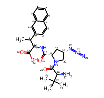 CC(c1ccc2ccccc2c1)C(NC(=O)[C@@H]1C[C@H](N=[N+]=[N-])CN1C(=O)[C@@H](N)C(C)(C)C)C(=O)O